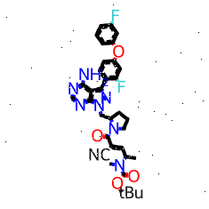 CC(C=C(C#N)C(=O)N1CCCC1Cn1nc(-c2ccc(Oc3cccc(F)c3)cc2F)c2c(N)ncnc21)N(C)C(=O)OC(C)(C)C